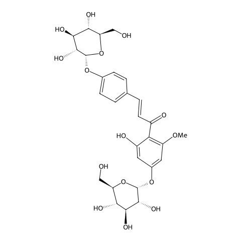 COc1cc(O[C@H]2O[C@H](CO)[C@@H](O)[C@H](O)[C@H]2O)cc(O)c1C(=O)/C=C/c1ccc(O[C@H]2O[C@H](CO)[C@@H](O)[C@H](O)[C@H]2O)cc1